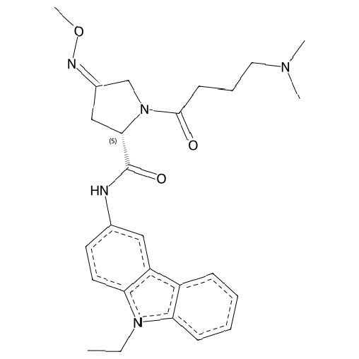 CCn1c2ccccc2c2cc(NC(=O)[C@@H]3CC(=NOC)CN3C(=O)CCCN(C)C)ccc21